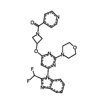 O=C(c1ccncc1)N1CC(Oc2cc(-n3c(C(F)F)nc4ccccc43)nc(N3CCOCC3)n2)C1